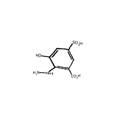 NNc1c(O)cc(S(=O)(=O)O)cc1C(=O)O